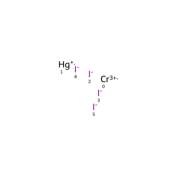 [Cr+3].[Hg+].[I-].[I-].[I-].[I-]